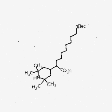 CCCCCCCCCCCCCCCCCCC(C(=O)O)C1CC(C)(C)NC(C)(C)C1